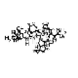 CN(C[C@@H](NC(=O)N[C@H](C(=O)N1C[C@H]2[C@H](CCC23CC3)[C@H]1C(=O)NC(CC1CCC1)C(=O)C(N)=O)C1(C)CCCCC1)C(C)(C)C)S(C)(=O)=O